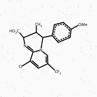 COc1ccc(C2C(C)C(C(=O)O)N=C3C(Cl)=CC(C(F)(F)F)=CN32)cc1